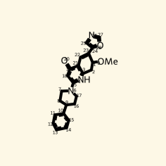 COC1Cc2[nH]c(N3CCC(c4ccccc4)CC3)cc(=O)c2C=C1c1cnco1